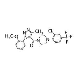 COc1ccccc1-n1nnc(C)c1C(=O)N1CCN(c2ccc(C(F)(F)F)cc2Cl)CC1